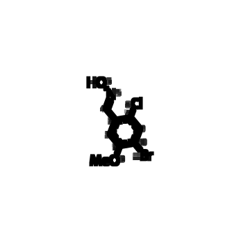 COc1cc(/C=N/O)c(Cl)cc1Br